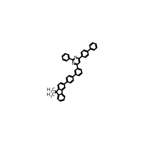 CC1(C)c2ccccc2-c2cc(-c3ccc(-c4cccc(-c5cc(-c6ccc(-c7ccccc7)cc6)nc(-c6ccccc6)n5)c4)cc3)ccc21